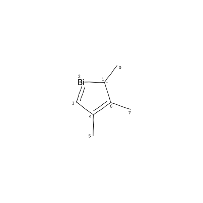 C[C]1[Bi]=[CH]C(C)=C1C